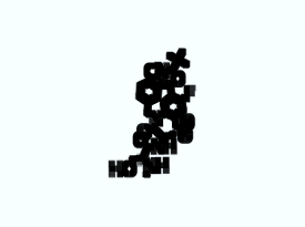 CN[C@@H](CO)C(=O)N[C@H]1CS(=O)(=O)c2cc(F)c(-c3nnc(C(C)(C)C)o3)cc2N(Cc2ccc(Cl)cc2)C1=O